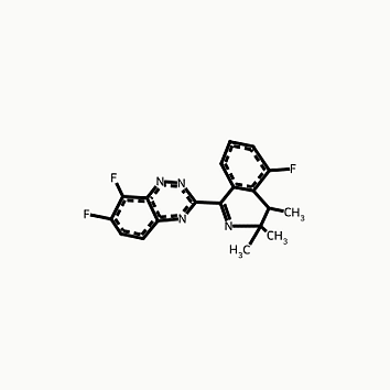 CC1c2c(F)cccc2C(c2nnc3c(F)c(F)ccc3n2)=NC1(C)C